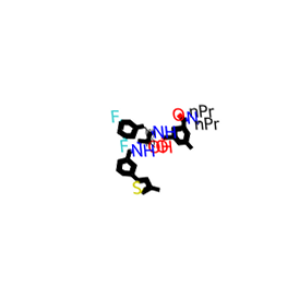 CCCN(CCC)C(=O)c1cc(C)cc(C(=O)N[C@@H](Cc2cc(F)cc(F)c2)[C@H](O)CNCc2cccc(-c3cc(C)cs3)c2)c1